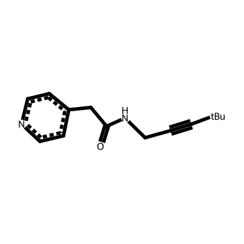 CC(C)(C)C#CCNC(=O)Cc1ccncc1